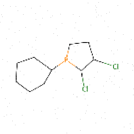 ClC1CCP(C2CCCCC2)C1Cl